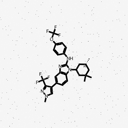 C[C@H]1CC(n2c(Nc3ccc(OC(F)(F)F)cc3)nc3cc(-c4cn(C)nc4C(F)(F)F)ccc32)CC(C)(C)C1